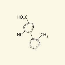 Cc1ccccc1-c1ccc(C(=O)O)cc1C#N